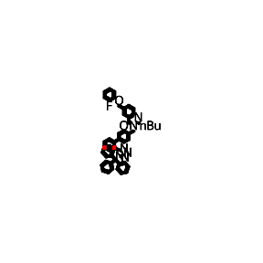 CCCCc1nc2ccc(COc3ccccc3F)cc2c(=O)n1Cc1ccc(-c2ccccc2-c2nnnn2C(c2ccccc2)(c2ccccc2)c2ccccc2)cc1